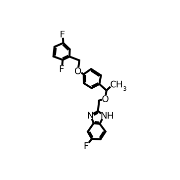 CC(OCc1nc2cc(F)ccc2[nH]1)c1ccc(OCc2cc(F)ccc2F)cc1